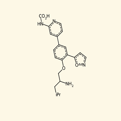 CC(C)CC(N)COc1ccc(-c2ccnc(NC(=O)O)c2)cc1-c1ccno1